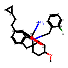 COC1CCC2(CC1)Cc1ccc(CCC3CC3)cc1C21N=C(N)N(Cc2ccccc2F)C1=O